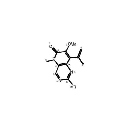 C=C(C)c1c(OC)c(=O)n(C)c2cnc(Cl)nc12